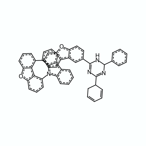 C1=CCC(C2=NC(c3ccccc3)NC(c3ccc4oc5cc(-c6cccc7oc8cccc(-n9c%10ccccc%10c%10ccccc%109)c8c67)ccc5c4c3)=N2)C=C1